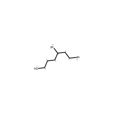 CC(C)CCC(CCCO)C(C)C